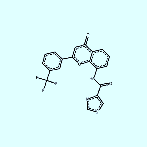 O=C(Nc1cccc2c(=O)cc(-c3cccc(C(F)(F)F)c3)oc12)c1cscn1